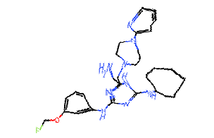 NC1(N2CCN(c3ccccn3)CC2)N=C(Nc2cccc(OCF)c2)N=C(NC2CCCCCC2)N1